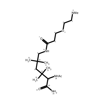 CNCCOCCC(=O)NCC(C)(C)CC(C)(C)C(NC(C)=O)C(N)=O